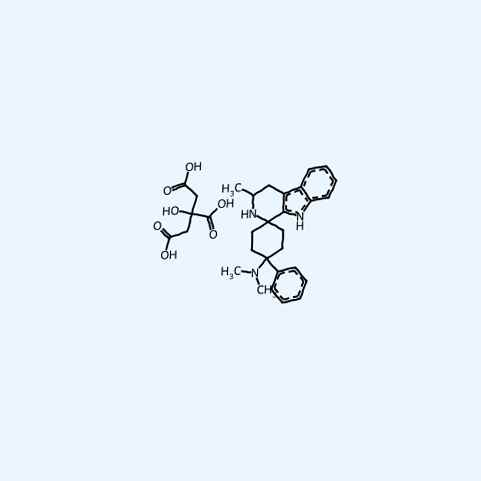 CC1Cc2c([nH]c3ccccc23)C2(CCC(c3ccccc3)(N(C)C)CC2)N1.O=C(O)CC(O)(CC(=O)O)C(=O)O